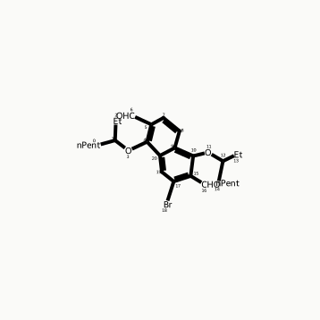 CCCCCC(CC)Oc1c(C=O)ccc2c(OC(CC)CCCCC)c(C=O)c(Br)cc12